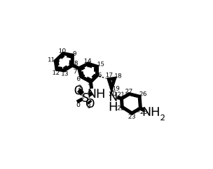 CS(=O)(=O)Nc1cc(-c2ccccc2)ccc1[C@@H]1C[C@H]1NC1CCC(N)CC1